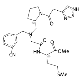 COC(=O)[C@H](CCSC)NC(=O)CN(Cc1cccc(C#N)c1)C[C@@H]1CCCN1C(=O)Cc1c[nH]cn1